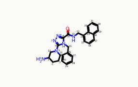 NC1CCCN(c2nnc(C(=O)NCc3cccc4ccccc34)n2Cc2ccccc2)C1